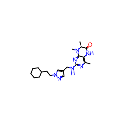 Cc1nc(NCc2cnn(CCC3CCCCC3)c2)nc2c1NC(=O)[C@H](C)N2C